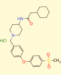 CS(=O)(=O)c1ccc(Oc2ccc(CN3CCC(NC(=O)CC4CCCCC4)CC3)cc2)cc1.Cl